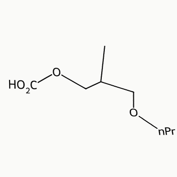 CCCOCC(C)COC(=O)O